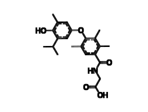 Cc1cc(Oc2c(C)cc(C(=O)NCC(=O)O)c(C)c2C)cc(C(C)C)c1O